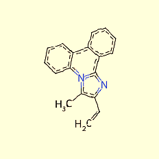 C=Cc1nc2c3ccccc3c3ccccc3n2c1C